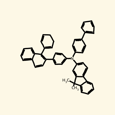 CC1(C)c2ccccc2-c2ccc(N(c3ccc(-c4ccccc4)cc3)c3ccc(-c4ccc5ccccc5c4C4=CCCC=C4)cc3)cc21